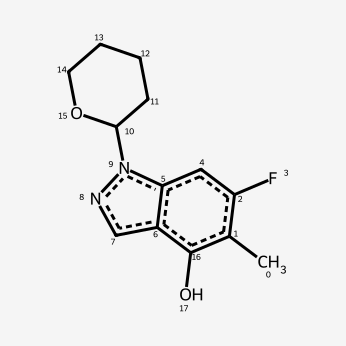 Cc1c(F)cc2c(cnn2C2CCCCO2)c1O